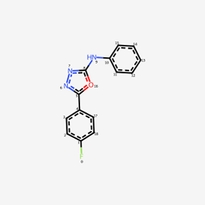 Fc1ccc(-c2nnc(Nc3ccccc3)o2)cc1